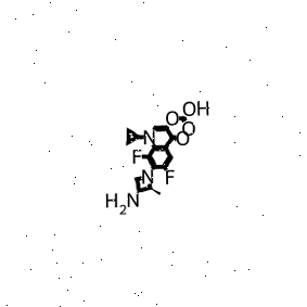 C[C@H]1[C@H](N)CN1c1c(F)cc2c(=O)c(OC(=O)O)cn(C3CC3)c2c1F